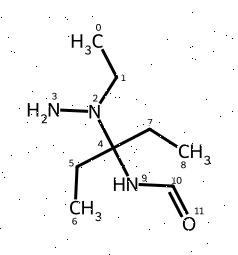 CCN(N)C(CC)(CC)NC=O